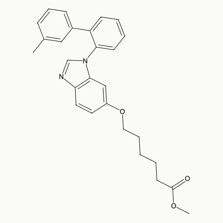 COC(=O)CCCCCOc1ccc2ncn(-c3ccccc3-c3cccc(C)c3)c2c1